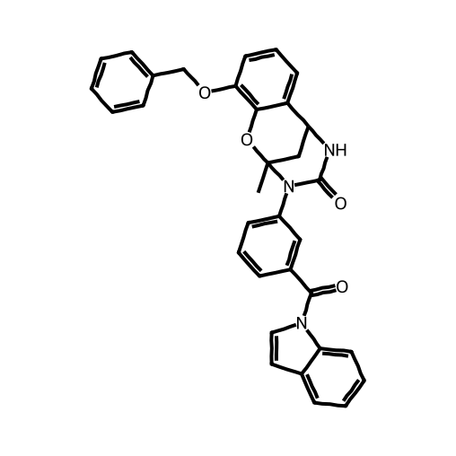 CC12CC(NC(=O)N1c1cccc(C(=O)n3ccc4ccccc43)c1)c1cccc(OCc3ccccc3)c1O2